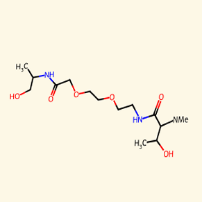 CNC(C(=O)NCCOCCOCC(=O)NC(C)CO)C(C)O